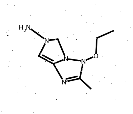 CCON1C(C)=NC2=CN(N)CN21